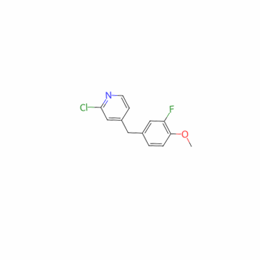 COc1ccc(Cc2ccnc(Cl)c2)cc1F